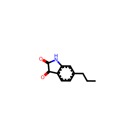 CCCc1ccc2c(c1)NC(=O)C2=O